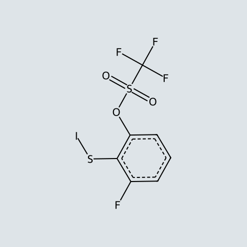 O=S(=O)(Oc1cccc(F)c1SI)C(F)(F)F